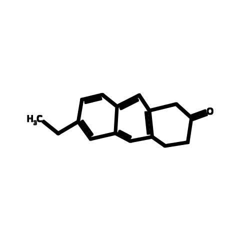 CCc1ccc2cc3c(cc2c1)CCC(=O)C3